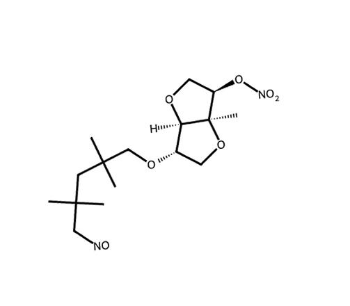 CC(C)(CN=O)CC(C)(C)CO[C@H]1CO[C@@]2(C)[C@@H]1OC[C@H]2O[N+](=O)[O-]